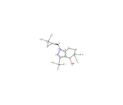 OC1c2c(C(F)(F)F)nn(C[C@H]3CC3(F)F)c2CCC1(F)F